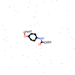 [CH2]OC(=O)Nc1ccc(OCCCCC)cc1